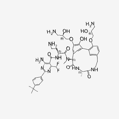 C[C@@H]1NC(=O)[C@@H](N(C)C(=O)[C@H](CCN)NC(=O)c2c(N)nc(-c3ccc(C(C)(C)C)cc3)nc2C(F)F)c2cc(OC[C@H](O)CN)c(O)c(c2)-c2cc(ccc2OC[C@H](O)CN)CCNC1=O